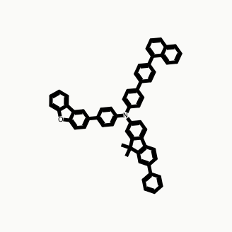 CC1(C)c2cc(-c3ccccc3)ccc2-c2ccc(N(c3ccc(-c4ccc(-c5cccc6ccccc56)cc4)cc3)c3ccc(-c4ccc5oc6ccccc6c5c4)cc3)cc21